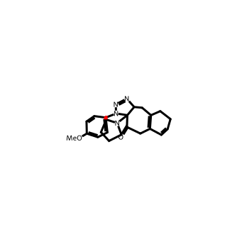 COc1ccc(N2N=NC3CC4=C(C=CCC4)CC(=O)C32N2CCCC2)cc1